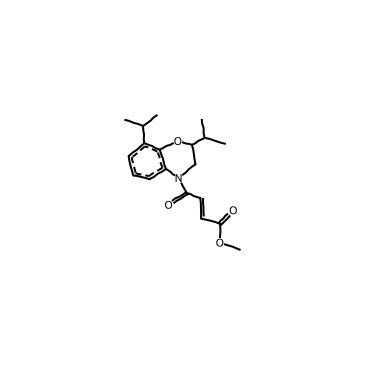 COC(=O)C=CC(=O)N1CC(C(C)C)Oc2c(C(C)C)cccc21